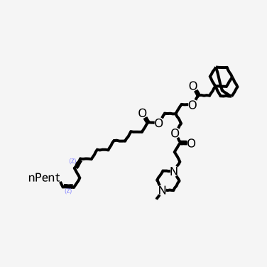 CCCCC/C=C\C/C=C\CCCCCCCC(=O)OCC(COC(=O)CCN1CCN(C)CC1)COC(=O)CC12CC3CC(CC(C3)C1)C2